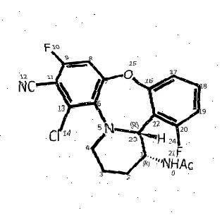 CC(=O)N[C@@H]1CCCN2c3c(cc(F)c(C#N)c3Cl)Oc3cccc(F)c3[C@H]12